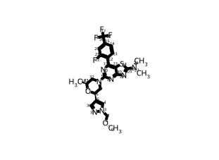 COCn1cc([C@@H]2CN(c3nc(-c4ccc(C(F)(F)F)cc4F)c4sc(N(C)C)nc4n3)C[C@H](C)O2)cn1